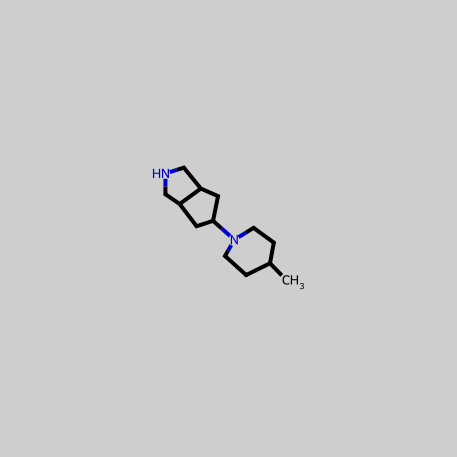 CC1CCN(C2CC3CNCC3C2)CC1